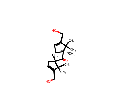 CC1(C)C(CO)=CC[C@]1(C)C(=O)[C@@]1(C)CC=C(CO)C1(C)C